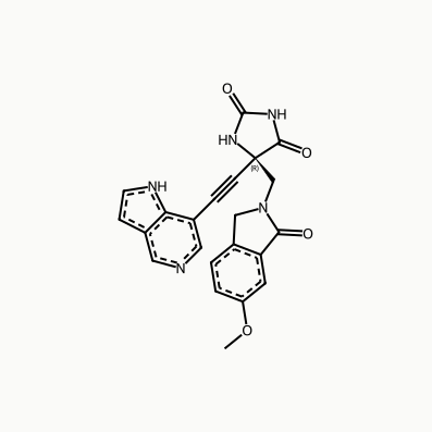 COc1ccc2c(c1)C(=O)N(C[C@@]1(C#Cc3cncc4cc[nH]c34)NC(=O)NC1=O)C2